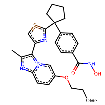 COCCOc1ccc2nc(C)c(-c3csc(C4(c5ccc(C(=O)NO)cc5)CCCC4)n3)n2c1